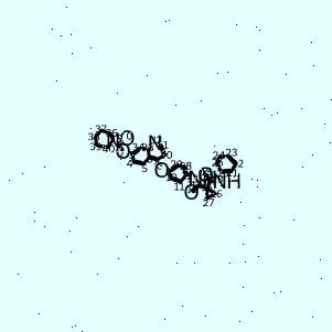 O=C(Oc1ccc2c(Oc3ccc(NC(=O)C4(C(=O)Nc5ccccc5)CC4)cc3)ccnc2c1)N1CCCCC1